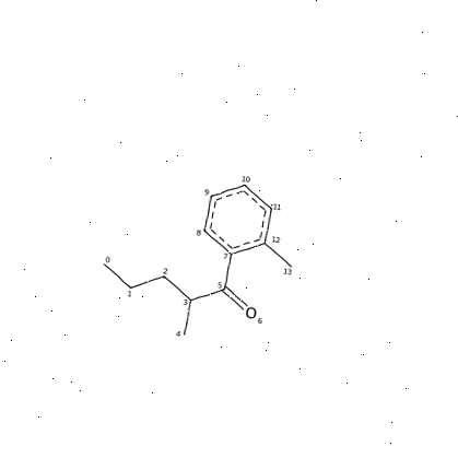 CCCC(C)C(=O)c1ccc[c]c1C